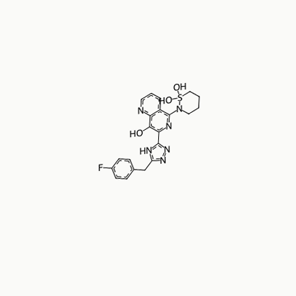 Oc1c(-c2nnc(Cc3ccc(F)cc3)[nH]2)nc(N2CCCCS2(O)O)c2cccnc12